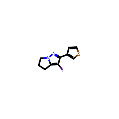 Ic1c(-c2ccsc2)nn2c1CCC2